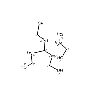 Cl.NCO.OCNC(NCO)NCO